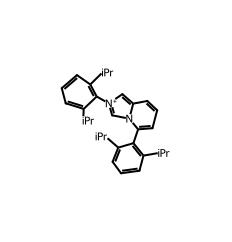 CC(C)c1cccc(C(C)C)c1-c1cccc2c[n+](-c3c(C(C)C)cccc3C(C)C)cn12